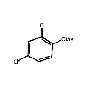 COc1ccc(Cl)cc1[O]